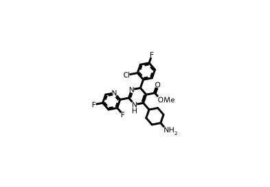 COC(=O)C1=C(C2CCC(N)CC2)NC(c2ncc(F)cc2F)=NC1c1ccc(F)cc1Cl